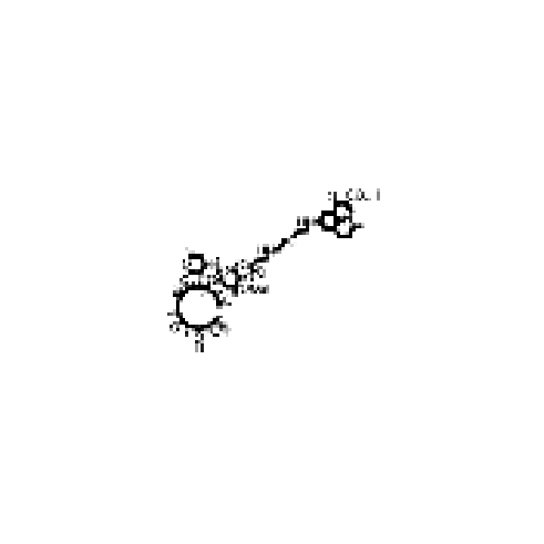 CC[C@H]1OC(=O)[C@H](C)[C@@H](O[C@H]2C[C@@](C)(OC)[C@@H](OS(=O)(=O)CCNCCOCCNc3cc4c5c(c3)c(=O)c(C(=O)O)cn5C(C)CC4)[C@H](C)O2)[C@H](C)[C@@H](O[C@@H]2O[C@H](C)C[C@H](N(C)C)[C@H]2O)[C@](C)(OC)C[C@@H](C)C(=O)[C@H](C)[C@@H](O)[C@]1(C)O